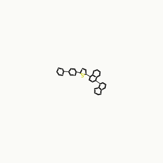 c1ccc(-c2ccc(-c3ccc(-c4ccc(-c5cccc6ccccc56)c5ccccc45)s3)cc2)cc1